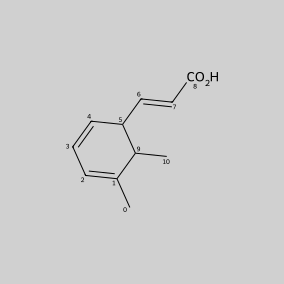 CC1=CC=CC(C=CC(=O)O)C1C